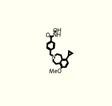 COc1ccc(C2CC2)c2c1CCN(Cc1ccc(C(=O)NO)cc1)CC2